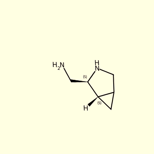 NC[C@H]1NCC2C[C@@H]21